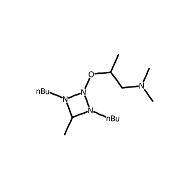 CCCCN1C(C)N(CCCC)N1OC(C)CN(C)C